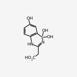 O=C(O)CC1=NS(O)(O)c2cc(O)ccc2N1